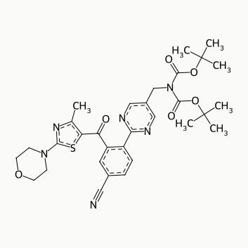 Cc1nc(N2CCOCC2)sc1C(=O)c1cc(C#N)ccc1-c1ncc(CN(C(=O)OC(C)(C)C)C(=O)OC(C)(C)C)cn1